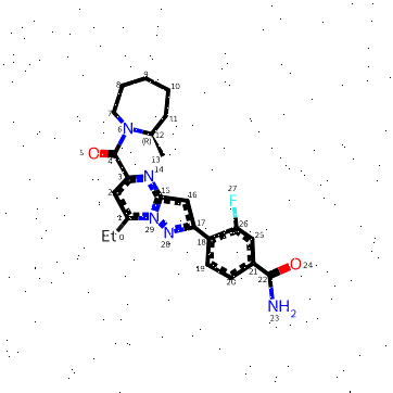 CCc1cc(C(=O)N2CCCCC[C@H]2C)nc2cc(-c3ccc(C(N)=O)cc3F)nn12